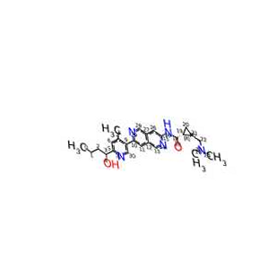 CCCC(O)c1cc(C)c(-c2cc3cnc(NC(=O)[C@@H]4C[C@H]4CN(C)C)cc3cn2)cn1